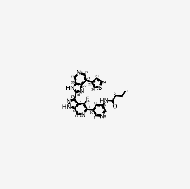 CCCC(=O)Nc1cncc(-c2ncc3[nH]nc(-c4nc5c(-c6ccsc6)cncc5[nH]4)c3c2F)c1